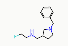 FCCNCC1CCN(Cc2ccccc2)C1